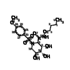 CCCCONC(=O)[C@H]1[C@H](O)[C@H](O)[C@@H](O)CN1S(=O)(=O)c1ccc(OC)cc1